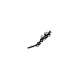 CCCCCCCCCOc1ccc(-c2ccc(C(=O)Oc3ccc(C(=O)O[C@H](C)CC(C)C)c(F)c3)cc2)cc1